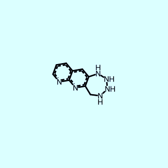 c1cnc2nc3c(cc2c1)NNNNC3